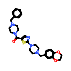 O=C(c1cnc(N2CCN(Cc3ccc4c(c3)OCCO4)CC2)s1)N1CCN(Cc2ccccc2)CC1